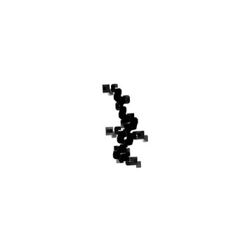 CCCC(=O)OCCc1nccc(N2[C@H](C)CN(c3ncnc(C)n3)C[C@@H]2C)n1